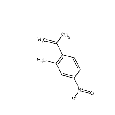 C=C(C)c1ccc([N+](=O)[O-])cc1C